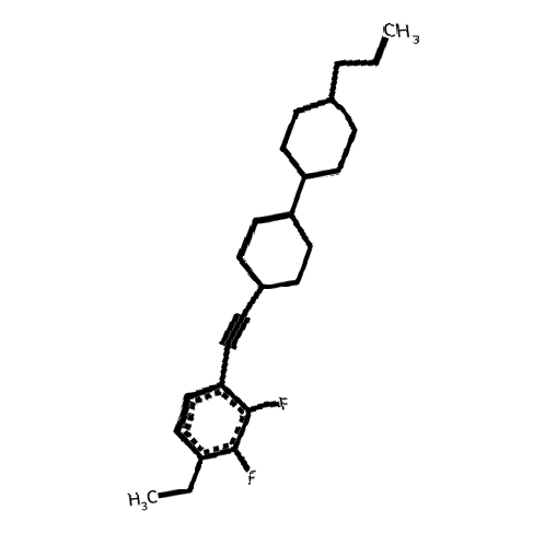 CCCC1CCC(C2CCC(C#Cc3ccc(CC)c(F)c3F)CC2)CC1